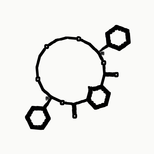 O=C1O[C@@H](c2ccccc2)COCCOCCOC[C@H](c2ccccc2)OC(=O)c2cccc1n2